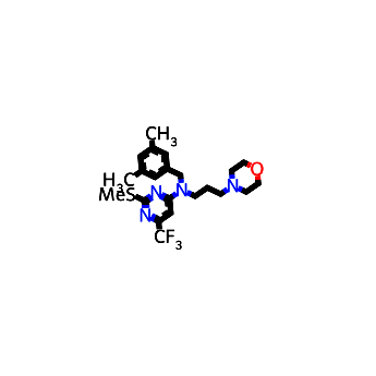 CSc1nc(N(CCCN2CCOCC2)Cc2cc(C)cc(C)c2)cc(C(F)(F)F)n1